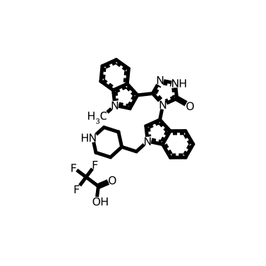 Cn1cc(-c2n[nH]c(=O)n2-c2cn(CC3CCNCC3)c3ccccc23)c2ccccc21.O=C(O)C(F)(F)F